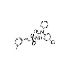 Cc1cccc(C=CS(=O)(=O)NC(=O)N(c2ccccc2)c2ccc(Cl)cc2)c1